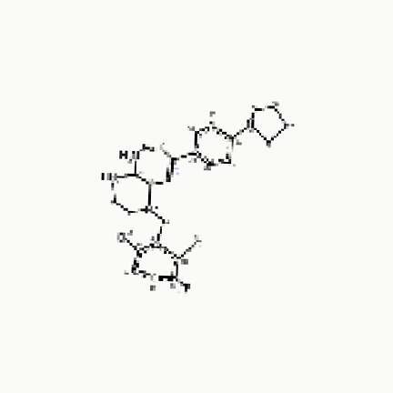 CN/C(=C\C1C(N)NCCN1Cc1c(Cl)ccc(F)c1Cl)c1ccc(N2CCCC2)nc1